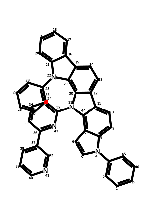 c1ccc(-n2ccc3c2ccc2c4ccc5c6ccccc6n(-c6ccccc6)c5c4n(-c4cccc(-c5cccnc5)n4)c23)cc1